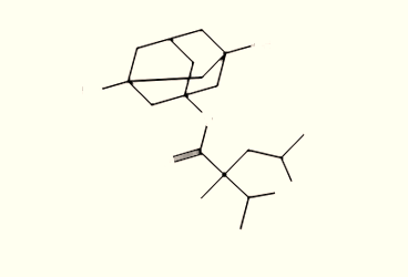 CC(C)CC(C)(C(=O)OC12CC3CC(O)(CC(O)(C3)C1)C2)C(C)C